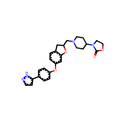 O=C1OCCN1C1CCN(CC2Cc3ccc(Oc4ccc(-c5ccn[nH]5)cc4)cc3O2)CC1